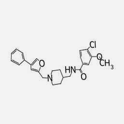 COc1cc(C(=O)NCC2CCN(Cc3cc(-c4ccccc4)co3)CC2)ccc1Cl